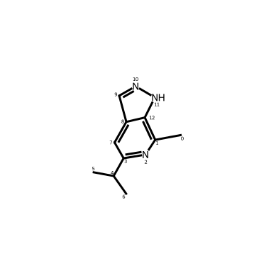 Cc1nc(C(C)C)cc2cn[nH]c12